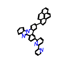 c1ccc(-c2cccc(-c3ccc4c(c3)c3cc(-c5ccc6ccc7cccc8ccc5c6c78)ccc3n3c5ccccc5nc43)n2)nc1